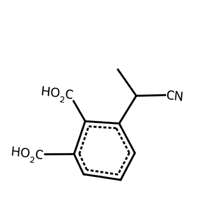 CC(C#N)c1cccc(C(=O)O)c1C(=O)O